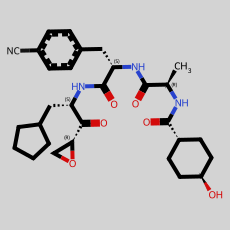 C[C@@H](NC(=O)[C@H]1CC[C@H](O)CC1)C(=O)N[C@@H](Cc1ccc(C#N)cc1)C(=O)N[C@@H](CC1CCCC1)C(=O)[C@H]1CO1